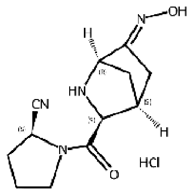 Cl.N#C[C@@H]1CCCN1C(=O)[C@H]1N[C@@H]2C[C@H]1CC2=NO